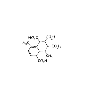 CC1=C2C(C(=O)O)C(C(=O)O)C(C(=O)O)C(C)C2C(C(=O)O)C=C1